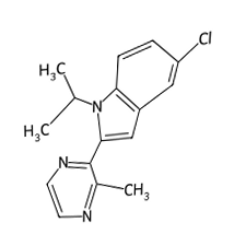 Cc1nccnc1-c1cc2cc(Cl)ccc2n1C(C)C